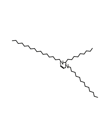 CCCCCCCCCCCCCCCCN1C=CN(CCCCCCCCCCCCC)C1CCCCCCCCC